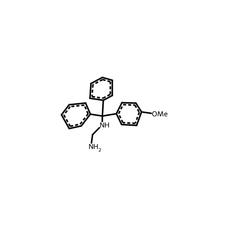 COc1ccc(C(NCN)(c2ccccc2)c2ccccc2)cc1